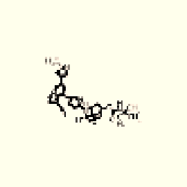 Cn1cc(-c2cc(-c3ccc(N4[C@@H]5C[C@@H]6C[C@H]4C[C@@](OC(=O)NC(C)(C)C)(C6)C5)nc3)c3c(C#N)cnn3c2)cn1